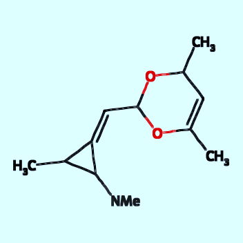 CNC1/C(=C\C2OC(C)=CC(C)O2)C1C